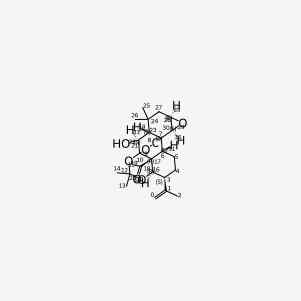 C=C(C)[C@@H]1CC[C@H]2[C@@]34COC5(OC(C)(C)O[C@H]1[C@@]25C(C)=O)[C@@H](O)[C@@H]3C(C)(C)C[C@H]1O[C@H]14